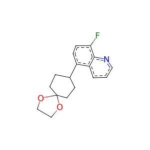 Fc1ccc(C2CCC3(CC2)OCCO3)c2cccnc12